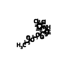 CCCC(=O)OCCOC(=O)Cc1sccc1Nc1cccc(Cl)c1Cl